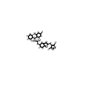 Cc1ccc(C(NC(=O)Cc2ccc3oc(Cc4c(C)noc4C)cc3c2)c2ccccc2)c(C)c1